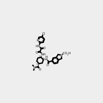 CN(C)C(=O)[C@H]1CC[C@H](NC(=O)C(=O)Nc2ccc(Cl)cn2)[C@H](NC(=O)c2ccc3c(c2)CN(C(=O)O)C3)C1